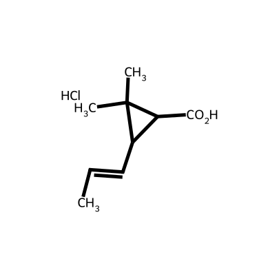 CC=CC1C(C(=O)O)C1(C)C.Cl